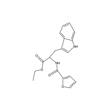 CCOC(=O)C(Cc1c[nH]c2ccccc12)NC(=O)c1ccco1